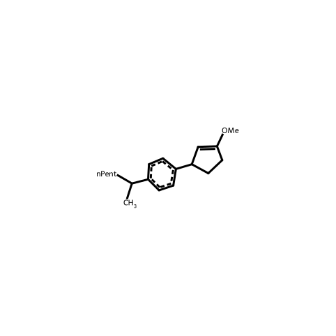 CCCCCC(C)c1ccc(C2C=C(OC)CC2)cc1